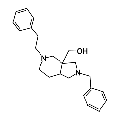 OCC12CN(CCc3ccccc3)CCC1CN(Cc1ccccc1)C2